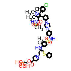 Cc1cc(S(=O)(=O)Nc2ccc(N3CCN(c4cccc(-c5c(C(=O)NS(C)(=O)=O)c(C)n(C(C)C)c5-c5ccc(Cl)cc5)c4)CC3)cc2)ccc1N[C@H](CCN1CCC(C(=O)OCCP(=O)(O)O)CC1)CSc1ccccc1